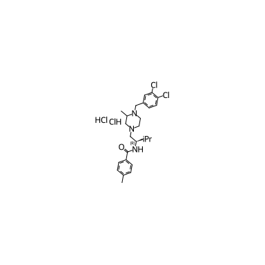 Cc1ccc(C(=O)N[C@@H](CN2CCN(Cc3ccc(Cl)c(Cl)c3)C(C)C2)C(C)C)cc1.Cl.Cl